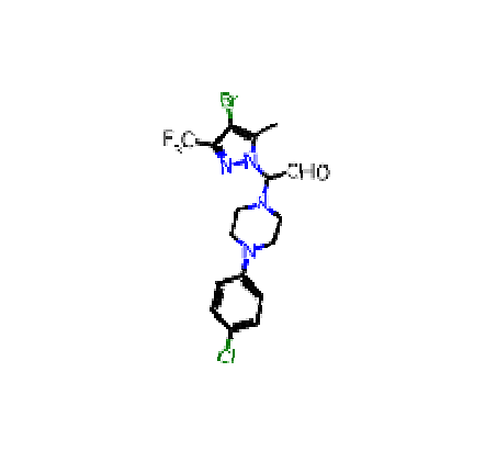 Cc1c(Br)c(C(F)(F)F)nn1C(C=O)N1CCN(c2ccc(Cl)cc2)CC1